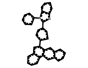 c1ccc(-n2c(-c3ccc(-c4cc5ccccc5c5cc6ccccc6cc45)cc3)nc3ccccc32)cc1